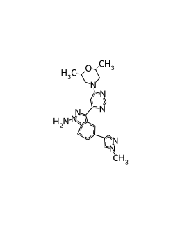 C[C@@H]1CN(c2cc(-c3nn(N)c4ccc(-c5cnn(C)c5)cc34)ncn2)C[C@H](C)O1